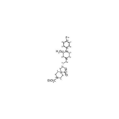 CCOC(=O)N1CCC2(CC1)C[C@H](CCN1CCN(c3ccc(F)cc3)[C@H](C)C1)OC2=O